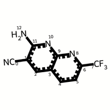 N#Cc1cc2ccc(C(F)(F)F)nc2nc1N